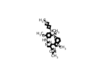 COc1cc(N(C)C2CC3(C2)CN(C)C3)c([N+](=O)[O-])cc1Nc1ncc(-c2nnc(C)o2)c(-c2cn(C)c3ccccc23)n1